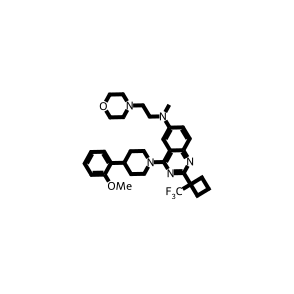 COc1ccccc1C1CCN(c2nc(C3(C(F)(F)F)CCC3)nc3ccc(N(C)CCN4CCOCC4)cc23)CC1